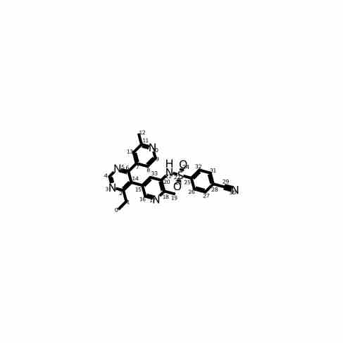 CCc1ncnc(-c2ccnc(C)c2)c1-c1cnc(C)c(NS(=O)(=O)c2ccc(C#N)cc2)c1